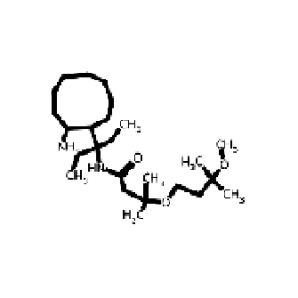 CCC(CC)(NC(=O)CC(C)(C)OCCC(C)(C)OC)C1CCCCCCCC1N